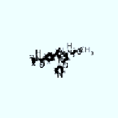 COCCNc1cc(Oc2cccnc2)nc2c(-c3ccc(C(=O)NC4CC4)cc3)cnn12